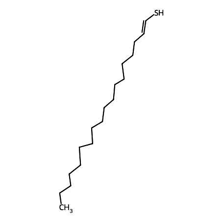 CCCCCCCCCCCCCCCCC=CS